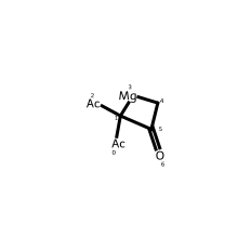 CC(=O)[C]1(C(C)=O)[Mg][CH2]C1=O